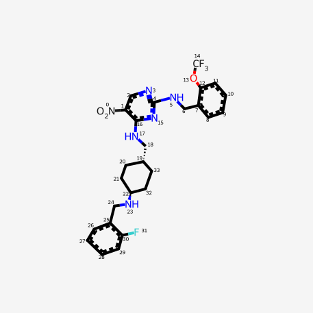 O=[N+]([O-])c1cnc(NCc2ccccc2OC(F)(F)F)nc1NC[C@H]1CC[C@H](NCc2ccccc2F)CC1